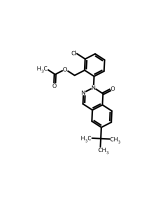 CC(=O)OCc1c(Cl)cccc1-n1ncc2cc(C(C)(C)C)ccc2c1=O